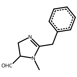 CN1C(Cc2ccccc2)=NCC1C=O